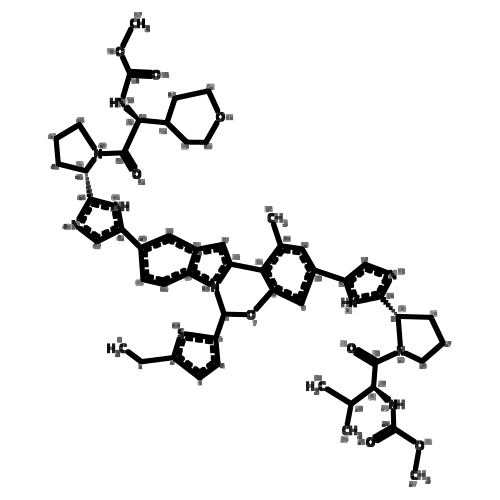 CCc1ccc(C2Oc3cc(-c4cnc([C@@H]5CCCN5C(=O)[C@@H](NC(=O)OC)C(C)C)[nH]4)cc(C)c3-c3cc4cc(-c5cnc([C@@H]6CCCN6C(=O)[C@@H](NC(=O)OC)C6CCOCC6)[nH]5)ccc4n32)s1